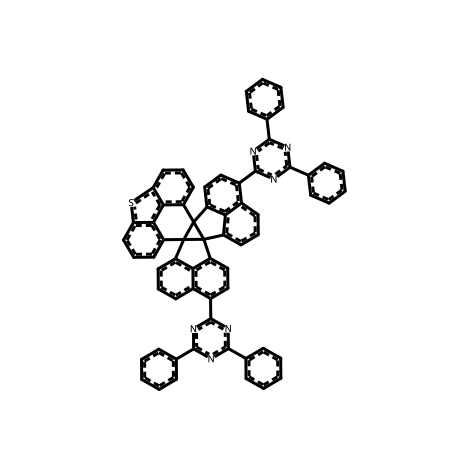 c1ccc(-c2nc(-c3ccccc3)nc(-c3ccc4c5c(cccc35)C35c6cccc7sc8cccc(c8c67)C36c3ccc(-c7nc(-c8ccccc8)nc(-c8ccccc8)n7)c7cccc(c37)C456)n2)cc1